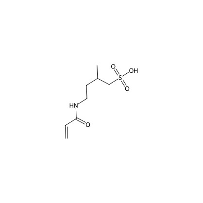 C=CC(=O)NCCC(C)CS(=O)(=O)O